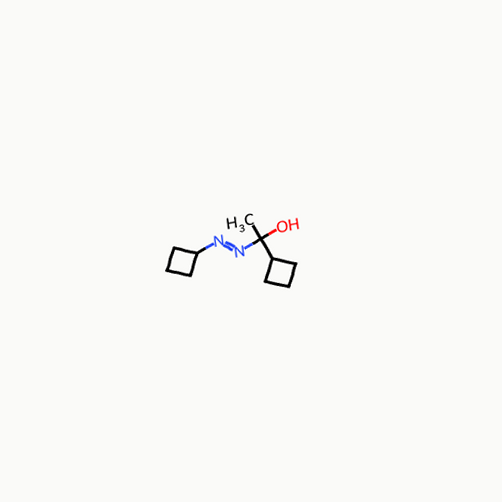 CC(O)(/N=N/C1CCC1)C1CCC1